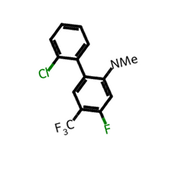 CNc1cc(F)c(C(F)(F)F)cc1-c1ccccc1Cl